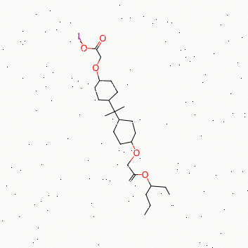 C=C(COC1CCC(C(C)(C)C2CCC(OCC(=O)OI)CC2)CC1)OC(CC)CCC